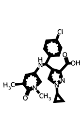 Cc1cc(NC(c2ccc(Cl)cc2)c2cn(C3CC3)nc2C(=O)O)cn(C)c1=O